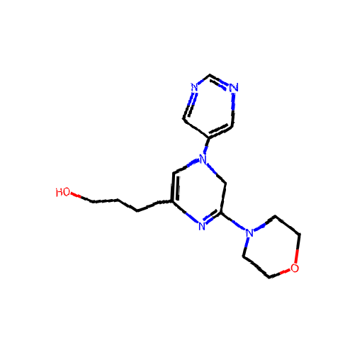 OCCCC1=CN(c2cncnc2)CC(N2CCOCC2)=N1